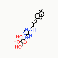 C/C(=C\CNc1ncnc2c1ncn2[C@@H]1O[C@H](CO)C(O)[C@@H]1O)CC[C@]12C[C@@]34CCC(C)(C)C(=CC[C@@H]1C)[C@@]32C4